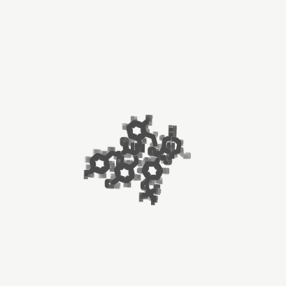 C[C@H]1CNC[C@](CCc2c(F)cccc2N[C@@H](Cc2ccc(Cl)cc2)C(=O)NCc2ccc(F)cc2)(S(=O)(=O)c2ccc(OC(F)(F)F)cc2)N1